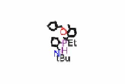 CCC(C)(Pc1ccccc1/C=N/C(C)(C)C)c1cccc(C)c1OCc1ccccc1